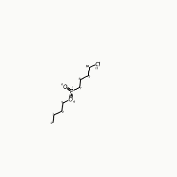 CCCCO[PH](=O)CCCCCl